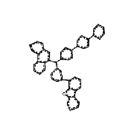 c1ccc(-c2ccc(-c3ccc(C(c4cccc(-c5cccc6c5oc5ccccc56)c4)c4cc5ccccc5c5ccccc45)cc3)cc2)cc1